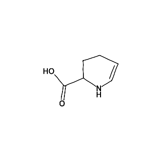 O=C(O)C1CCC=CN1